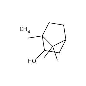 C.CC1(C)C2CCC1(C)C(O)C2